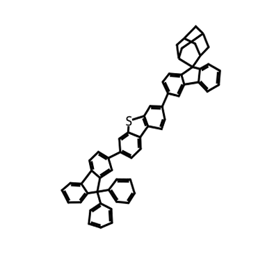 c1ccc(C2(c3ccccc3)c3ccccc3-c3ccc(-c4ccc5c(c4)sc4cc(-c6ccc7c(c6)-c6ccccc6C76C7CC8CC(C7)CC6C8)ccc45)cc32)cc1